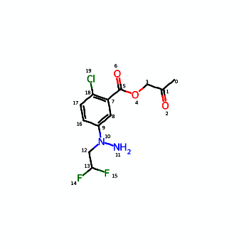 CC(=O)COC(=O)c1cc(N(N)CC(F)F)ccc1Cl